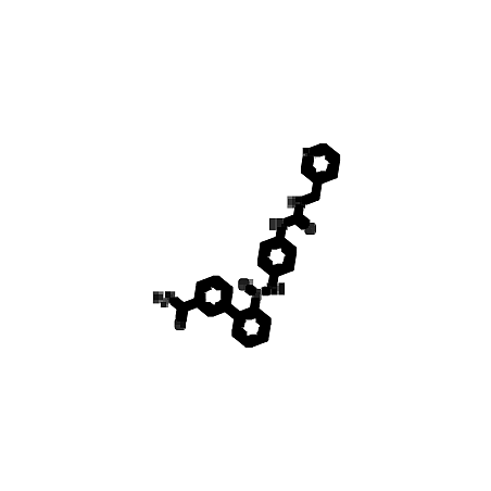 NC(=O)c1cccc(-c2ccccc2[S+]([O-])Nc2ccc(NC(=O)NCc3cccnc3)cc2)c1